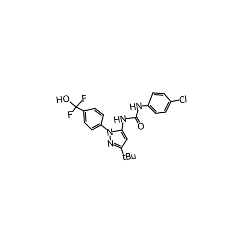 CC(C)(C)c1cc(NC(=O)Nc2ccc(Cl)cc2)n(-c2ccc(C(O)(F)F)cc2)n1